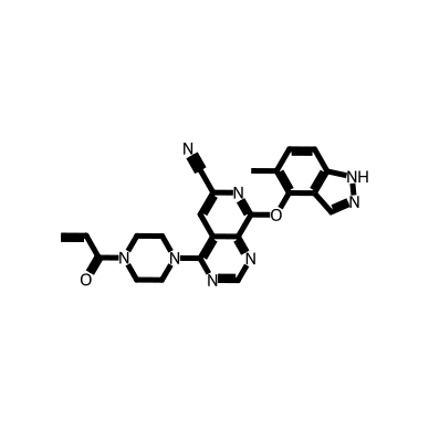 C=CC(=O)N1CCN(c2ncnc3c(Oc4c(C)ccc5[nH]ncc45)nc(C#N)cc23)CC1